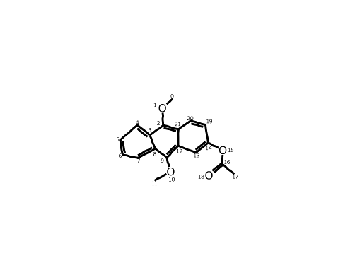 COc1c2ccccc2c(OC)c2cc(OC(C)=O)ccc12